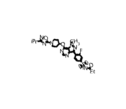 CCC(=O)NS(=O)(=O)c1ccc(-c2nn(C)c3c(OC4CCN(c5nc(C(C)C)no5)CC4)ncnc23)c(F)c1